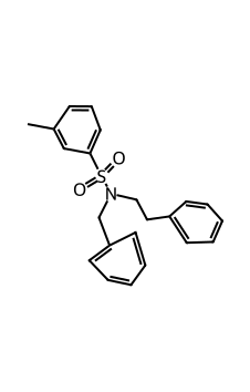 Cc1cccc(S(=O)(=O)N(CCc2ccccc2)Cc2ccccc2)c1